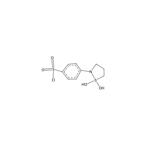 O=S(=O)(Cl)c1ccc(N2CCCS2(O)O)cc1